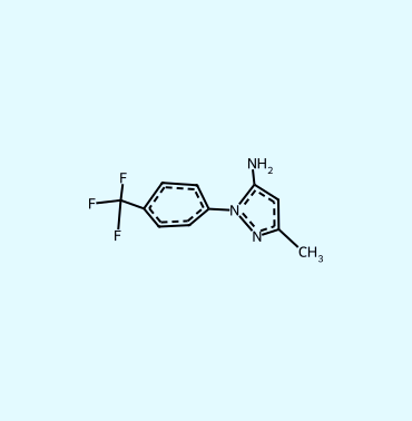 Cc1cc(N)n(-c2ccc(C(F)(F)F)cc2)n1